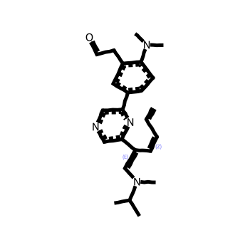 C=C/C=C\C(=C/N(C)C(C)C)c1cncc(-c2ccc(N(C)C)c(CC=O)c2)n1